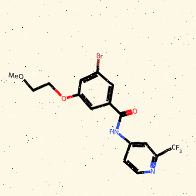 COCCOc1cc(Br)cc(C(=O)Nc2ccnc(C(F)(F)F)c2)c1